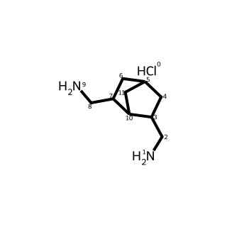 Cl.NCC1CC2CC(CN)C1C2